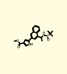 COC(=O)c1c[nH]c(-c2cc(C(C)N[S+]([O-])C(C)(C)C)c3ccccc3c2)c1